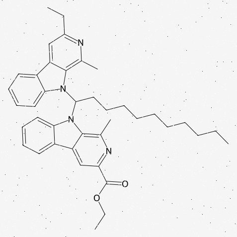 CCCCCCCCCCC(n1c2ccccc2c2cc(CC)nc(C)c21)n1c2ccccc2c2cc(C(=O)OCC)nc(C)c21